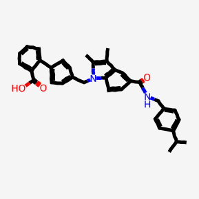 Cc1c(C)n(Cc2ccc(-c3ccccc3C(=O)O)cc2)c2ccc(C(=O)NCc3ccc(C(C)C)cc3)cc12